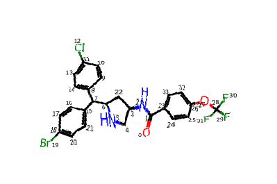 O=C(NC1CNC(C(c2ccc(Cl)cc2)c2ccc(Br)cc2)C1)c1ccc(OC(F)(F)F)cc1